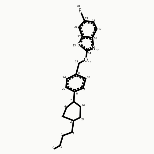 CCCCC1CCC(c2ccc(COc3nc4ccc(F)cc4s3)cc2)CC1